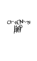 CN(C)CCCN1CCN(CCCl)CC1.Cl.Cl.Cl.O